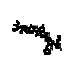 CCC(C)C(C=O)NC(=O)c1csc(C(C)NC(=O)C2N=C(C(CC(C)C)NC(=O)c3csc(C(Cc4ccccc4)NC(=O)C(N)C(C)OC=O)n3)OC2C)n1